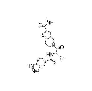 CNC(=O)c1cc2c(s1)CCN(C(=O)[C@H](NC(=O)c1ccc3[nH]ncc3c1)C1CC1)C2